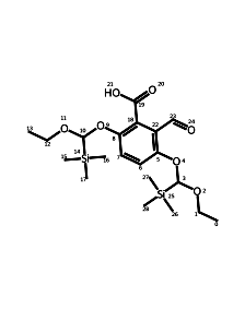 CCOC(Oc1ccc(OC(OCC)[Si](C)(C)C)c(C(=O)O)c1C=O)[Si](C)(C)C